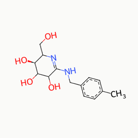 Cc1ccc(CNC2=NC(CO)[C@H](O)C(O)C2O)cc1